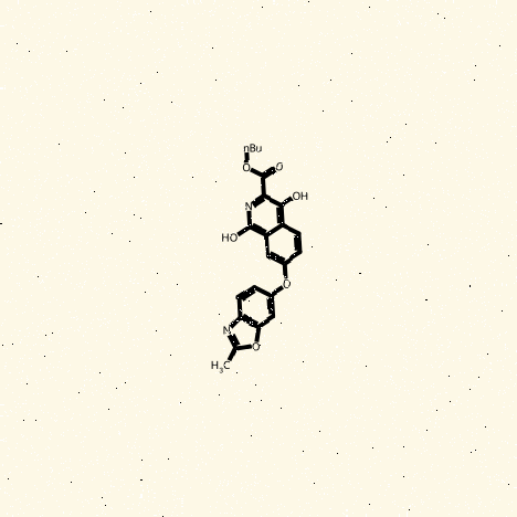 CCCCOC(=O)c1nc(O)c2cc(Oc3ccc4nc(C)oc4c3)ccc2c1O